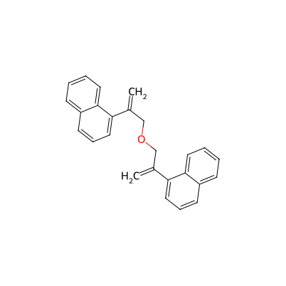 C=C(COCC(=C)c1cccc2ccccc12)c1cccc2ccccc12